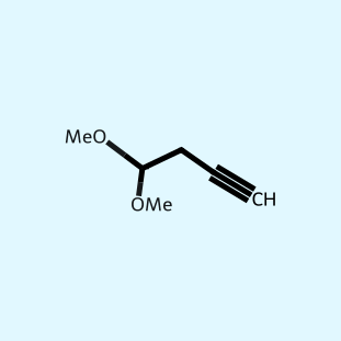 C#CC[C](OC)OC